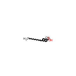 CCCCCCCCCCCC=Cc1ccc2c(C)c(C(=O)O)ccc2c1